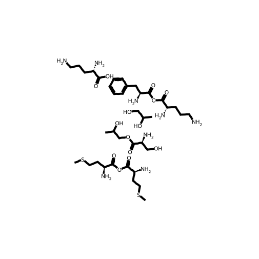 CC(O)CO.CC(O)COC(=O)[C@@H](N)CO.CSCC[C@H](N)C(=O)OC(=O)[C@@H](N)CCSC.NCCC[C@H](N)C(=O)O.NCCC[C@H](N)C(=O)OC(=O)[C@@H](N)Cc1ccccc1